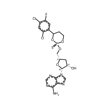 Nc1ncnc2c1ncn2[C@@H]1O[C@H](COP2(=S)OCCC(c3cc(F)c(Cl)cc3Cl)O2)C[C@@H]1O